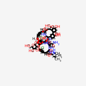 CN[C@H](CC(C)C)C(=O)N[C@H]1C(=O)N[C@@H](CC(N)=O)C(=O)N[C@H]2C(=O)N[C@H]3C(=O)N[C@H](C(=O)C[C@H](C(=O)O)c4cc(O)cc(O)c4-c4cc3ccc4O)[C@H](O)c3ccc(c(Cl)c3)Oc3cc2cc(c3O[C@@H]2O[C@H](CO)[C@@H](O)[C@H](O)[C@H]2O[C@H]2C[C@](C)(N)[C@H](O)[C@H](C)O2)Oc2ccc(cc2Cl)[C@H]1O